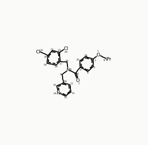 CC(C)Oc1ccc(C(=O)N(Cc2cccnc2)Cc2ccc(Cl)cc2Cl)cc1